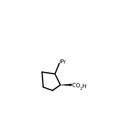 CC(C)C1CCC[C@@H]1C(=O)O